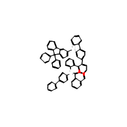 c1ccc(-c2ccc(N(c3ccccc3-c3ccccc3-c3ccc4c5ccccc5n(-c5ccc6c(c5)-c5ccccc5C6(c5ccccc5)c5ccccc5)c4c3)c3cccc4ccccc34)cc2)cc1